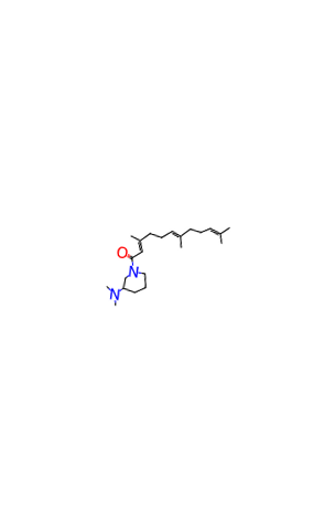 CC(C)=CCC/C(C)=C/CC/C(C)=C/C(=O)N1CCCC(N(C)C)C1